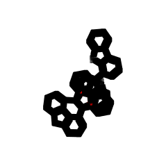 c1cc2c3c(c1)C14c5cccc6c(-c7cccc8c7sc7ccccc78)ccc(c56)C1(c1cccc(c1-3)C2)c1cccc2sc3cccc4c3c12